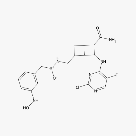 NC(=O)C1C2CC(CN[S+]([O-])Cc3cccc(NO)c3)C2C1Nc1nc(Cl)ncc1F